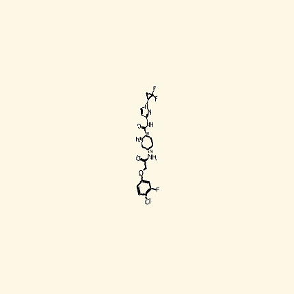 O=C(COc1ccc(Cl)c(F)c1)N[C@H]1CC[C@H](C(=O)Nc2ccn(C3CC3(F)F)n2)NC1